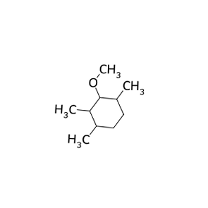 COC1C(C)CCC(C)C1C